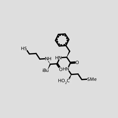 CC[C@H](C)[C@H](NCCCS)C(=O)N[C@@H](Cc1ccccc1)C(=O)N[C@@H](CCSC)C(=O)O